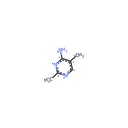 [CH2]c1cnc(C)nc1N